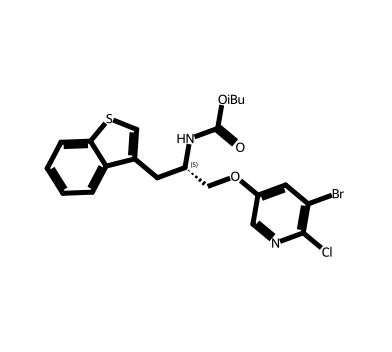 CC(C)COC(=O)N[C@H](COc1cnc(Cl)c(Br)c1)Cc1csc2ccccc12